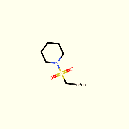 CCCCCCS(=O)(=O)N1CCCCC1